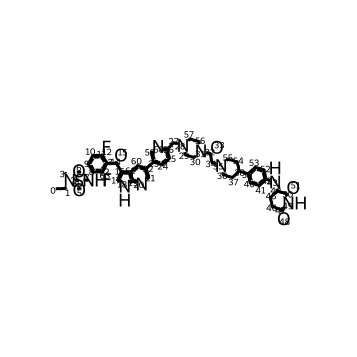 CCN(C)S(=O)(=O)Nc1ccc(F)c(C(=O)c2c[nH]c3ncc(-c4ccc(CN5CCN(C(=O)CN6CCC(c7ccc(NC8CCC(=O)NC8=O)cc7)CC6)CC5)nc4)cc23)c1F